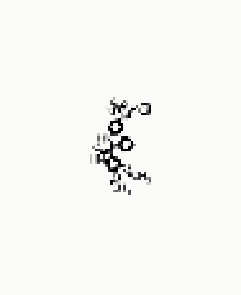 CCOc1cc2c(cc1OCC)/C(=C(/Nc1ccc(N(CCN3CCCC3)S(C)(=O)=O)cc1)c1ccccc1)C(=O)N2